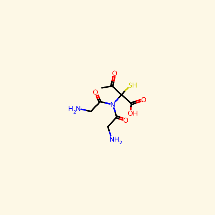 CC(=O)C(S)(C(=O)O)N(C(=O)CN)C(=O)CN